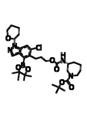 CC(C)(C)OC(=O)N1CCCC[C@@H](NC(=O)OCCCc2c(Cl)cc3c(cnn3C3CCCCO3)c2B2OC(C)(C)C(C)(C)O2)C1